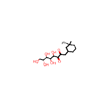 CC(C)C1(C)CCCC(CC(=O)C(=O)[C@H](O)[C@@H](O)[C@H](O)[C@H](O)CO)C1